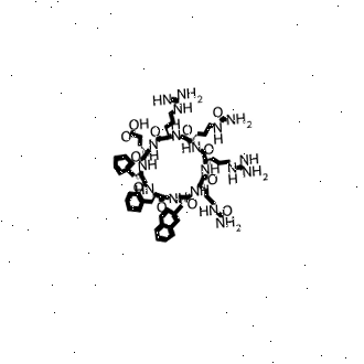 N=C(N)NCCC[C@H]1NC(=O)[C@H](CCCNC(N)=O)NC(=O)[C@@H](CCCNC(=N)N)NC(=O)[C@H](CCCNC(N)=O)NC(=O)[C@H](Cc2ccc3ccccc3c2)NC(=O)[C@@H](Cc2ccccc2)NC(=O)[C@H](Cc2ccccc2)NC(=O)[C@H](CCC(=O)O)NC1=O